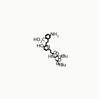 CC(C)(C)OC(=O)C[C@H](NC(=O)CCc1ccc(O)c(CCc2cc(N)ccc2C(=O)O)n1)C(=O)OC(C)(C)C